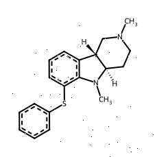 CN1CC[C@@H]2[C@@H](C1)c1cccc(Sc3ccccc3)c1N2C